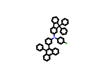 Fc1ccc(N(c2cccc(-c3c(-c4ccccc4)c4ccccc4c4ccccc34)c2)c2ccc3c(c2)C(c2ccccc2)(c2ccccc2)c2ccccc2-3)cc1